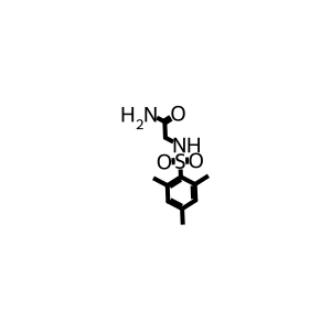 Cc1cc(C)c(S(=O)(=O)NCC(N)=O)c(C)c1